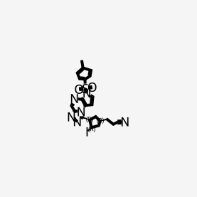 Cc1ccc(S(=O)(=O)n2ccc3c2ncc2nnc([C@H]4C[C@@H](CCC#N)C[C@H]4I)n23)cc1